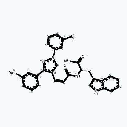 COC(=O)[C@H](Cc1c[nH]c2ccccc12)NC(=O)/C=C\c1cn(-c2cccc(Cl)c2)nc1-c1cccc(OC)c1